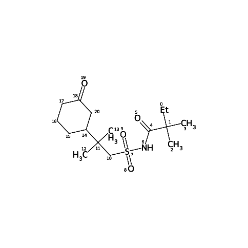 CCC(C)(C)C(=O)NS(=O)(=O)CC(C)(C)C1CCCC(=O)C1